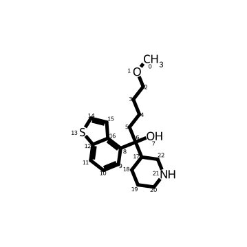 COCCCCC(O)(c1cccc2sccc12)C1CCCNC1